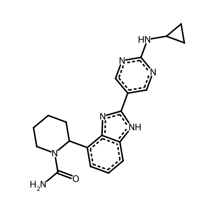 NC(=O)N1CCCCC1c1cccc2[nH]c(-c3cnc(NC4CC4)nc3)nc12